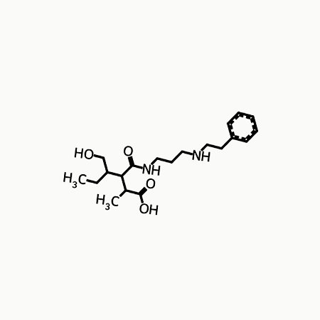 CCC(CO)C(C(=O)NCCCNCCc1ccccc1)C(C)C(=O)O